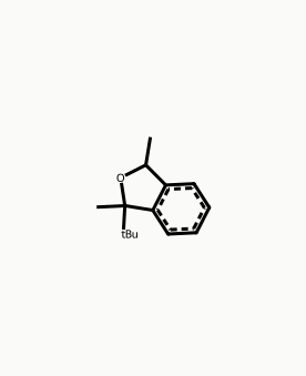 CC1OC(C)(C(C)(C)C)c2ccccc21